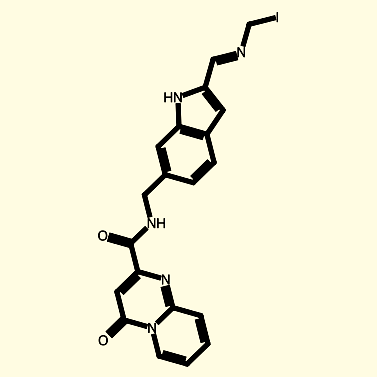 O=C(NCc1ccc2cc(/C=N/CI)[nH]c2c1)c1cc(=O)n2ccccc2n1